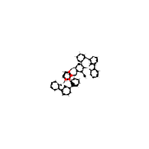 N#Cc1cccc2c1C1c3c(ccc(-n4c5ccccc5c5cccc(-c6ccccc6)c54)c3C#N)C2c2ccc(-n3c4ccccc4c4cccc(-c5ccccc5)c43)c(C#N)c21